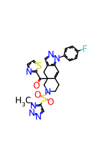 Cn1nncc1S(=O)(=O)N1CCC2=Cc3c(cnn3-c3ccc(F)cc3)CC2(C(=O)c2nccs2)C1